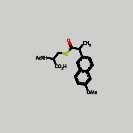 COc1ccc2cc(C(C)C(=O)SCC(NC(C)=O)C(=O)O)ccc2c1